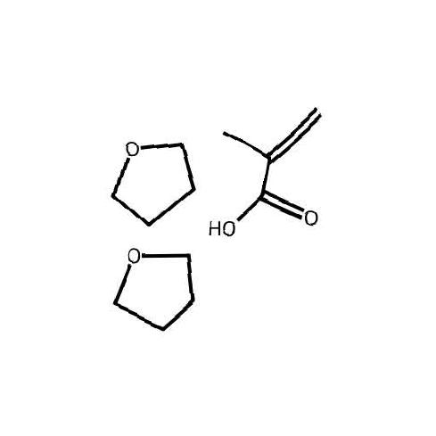 C1CCOC1.C1CCOC1.C=C(C)C(=O)O